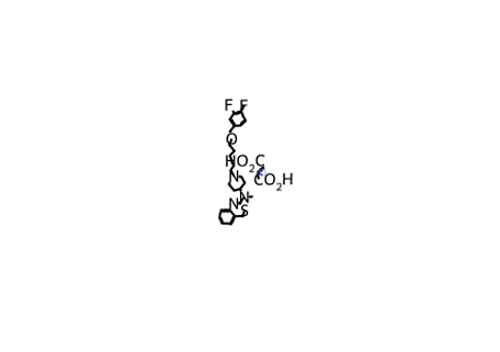 CN(C1=Nc2ccccc2CS1)C1CCN(CCCCCOCc2ccc(F)c(F)c2)CC1.O=C(O)/C=C/C(=O)O